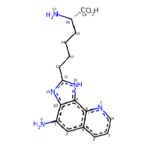 Nc1cc2cccnc2c2[nH]c(CCCC[C@H](N)C(=O)O)nc12